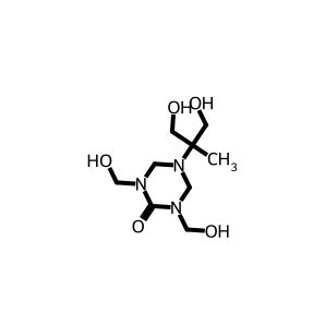 CC(CO)(CO)N1CN(CO)C(=O)N(CO)C1